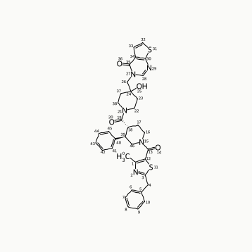 Cc1nc(Cc2ccccc2)sc1C(=O)N1CC[C@@H](C(=O)N2CCC(O)(Cn3cnc4sccc4c3=O)CC2)[C@H](c2ccccc2)C1